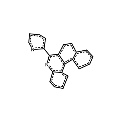 c1ccc(-c2nc3ccccc3c3c2ccc2ccccc23)nc1